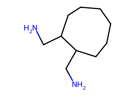 NCC1CCCCCCC1CN